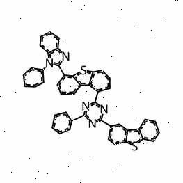 c1ccc(-c2nc(-c3ccc4sc5ccccc5c4c3)nc(-c3cccc4sc5c(-c6nc7ccccc7n6-c6ccccc6)cccc5c34)n2)cc1